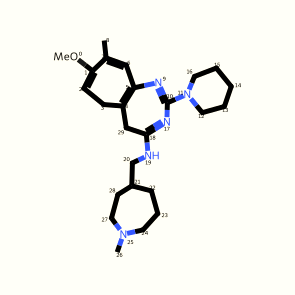 COC1=CCC2=C(C=C1C)N=C(N1CCCCC1)N=C(NCC1CCCN(C)CC1)C2